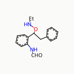 CCNOC(Cc1ccccc1)c1ccccc1NC=O